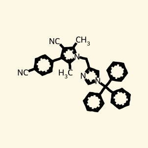 Cc1c(C#N)c(-c2ccc(C#N)cc2)c(C)n1Cc1cn(C(c2ccccc2)(c2ccccc2)c2ccccc2)cn1